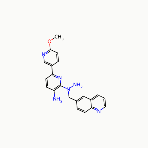 COc1ccc(-c2ccc(N)c(N(N)Cc3ccc4ncccc4c3)n2)cn1